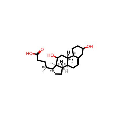 C[C@H](CCC(=O)O)[C@H]1CC[C@H]2[C@@H]3CC=C4CC(O)CC[C@]4(C)[C@H]3CC(O)[C@]12C